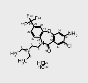 CCN(CC)CCN1C(=O)c2cc(Cl)c(N)cc2Oc2cc(C(F)(F)F)ccc21.Cl.Cl